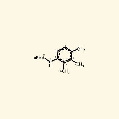 CCCCCNc1ccc(N)c(C)c1C